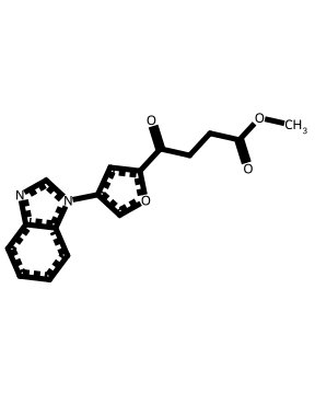 COC(=O)CCC(=O)c1cc(-n2cnc3ccccc32)co1